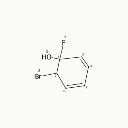 OC1(F)C=CC=CC1Br